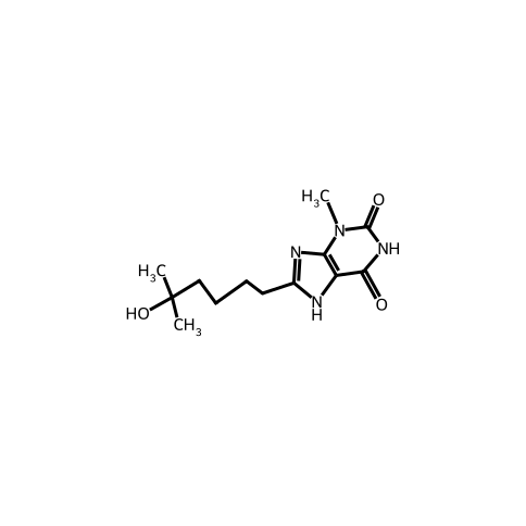 Cn1c(=O)[nH]c(=O)c2[nH]c(CCCCC(C)(C)O)nc21